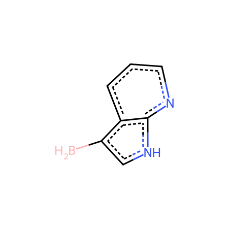 Bc1c[nH]c2ncccc12